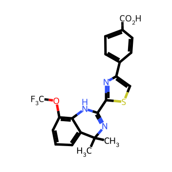 CC1(C)N=C(c2nc(-c3ccc(C(=O)O)cc3)cs2)Nc2c(OC(F)(F)F)cccc21